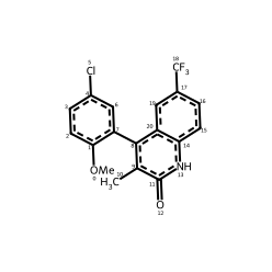 COc1ccc(Cl)cc1-c1c(C)c(=O)[nH]c2ccc(C(F)(F)F)cc12